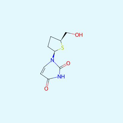 O=c1ccn([C@H]2CC[C@@H](CO)S2)c(=O)[nH]1